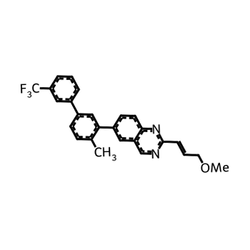 COC/C=C/c1ncc2cc(-c3cc(-c4cccc(C(F)(F)F)c4)ccc3C)ccc2n1